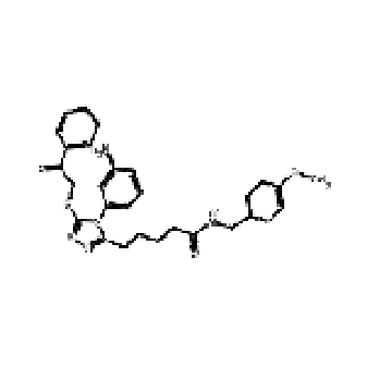 COC1=CCC(CNC(=O)CCCCc2nnc(SCC(=O)C3=CCCC=C3)n2-c2cccc(N)c2)CC1